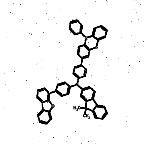 CC1(C)c2ccccc2-c2ccc(N(c3ccc(-c4ccc5c(c4)Sc4ccccc4N5c4ccccc4)cc3)c3ccc(-c4cccc5c4oc4ccccc45)cc3)cc21